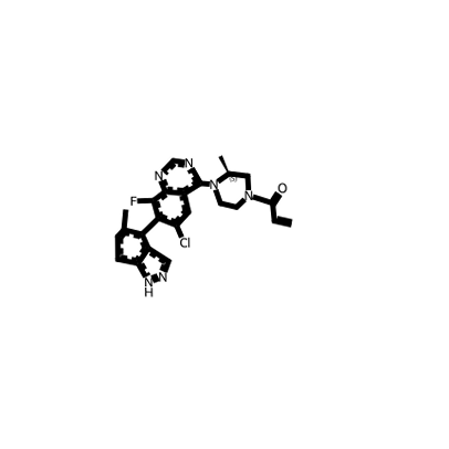 C=CC(=O)N1CCN(c2ncnc3c(F)c(-c4c(C)ccc5[nH]ncc45)c(Cl)cc23)[C@@H](C)C1